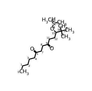 CCCCCC(=O)CCC(=O)CCC(O[SiH](C)C)C(C)(C)C